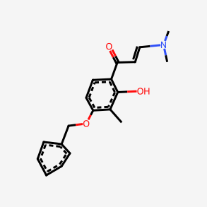 Cc1c(OCc2ccccc2)ccc(C(=O)C=CN(C)C)c1O